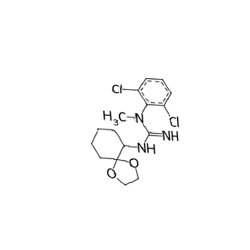 CN(C(=N)NC1CCCCC12OCCO2)c1c(Cl)cccc1Cl